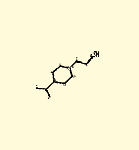 CC(C)C1CCN(CCS)CC1